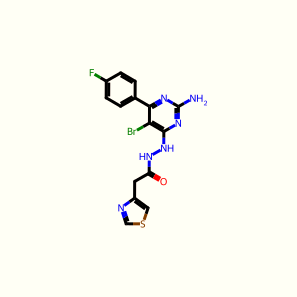 Nc1nc(NNC(=O)Cc2cscn2)c(Br)c(-c2ccc(F)cc2)n1